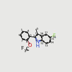 Cc1c(-c2ccccc2OC(F)(F)F)[nH]c2ccc(F)cc12